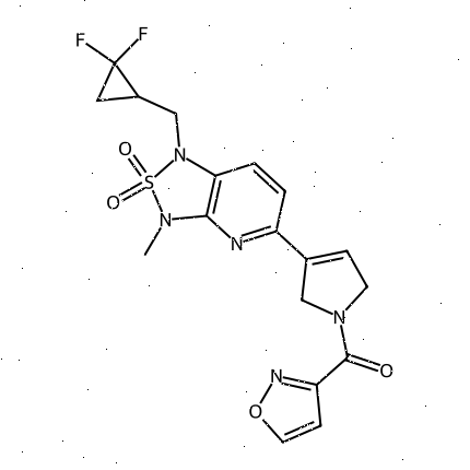 CN1c2nc(C3=CCN(C(=O)c4ccon4)C3)ccc2N(CC2CC2(F)F)S1(=O)=O